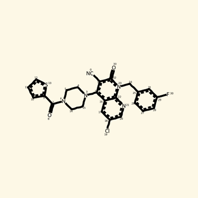 N#Cc1c(N2CCN(C(=O)c3cccs3)CC2)c2cc(Cl)cnc2n(Cc2cccc(F)c2)c1=O